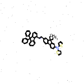 CCC1(CC)c2cc(/C=C/c3cccc4c3-c3ccccc3C4(c3ccccc3)c3ccccc3)ccc2-c2ccc(N(c3cccs3)C3CC=CS3)cc21